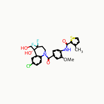 COc1cc(C(=O)N2CCC(F)(F)[C@](O)(CO)c3cc(Cl)ccc32)ccc1NC(=O)c1sccc1C